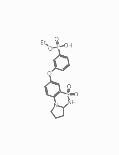 CCOP(=O)(O)c1cccc(Oc2ccc3c(c2)S(=O)(=O)NC2CCCN32)c1